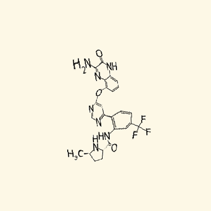 C[C@@H]1CC[C@@H](C(=O)Nc2cc(C(F)(F)F)ccc2-c2cc(Oc3cccc4[nH]c(=O)c(N)nc34)ncn2)N1